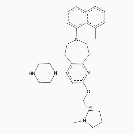 Cc1cccc2cccc(N3CCc4nc(OC[C@@H]5CCCN5C)nc(N5CCNCC5)c4CC3)c12